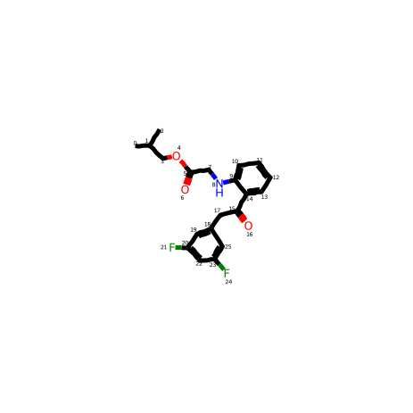 CC(C)COC(=O)CNc1ccccc1C(=O)Cc1cc(F)cc(F)c1